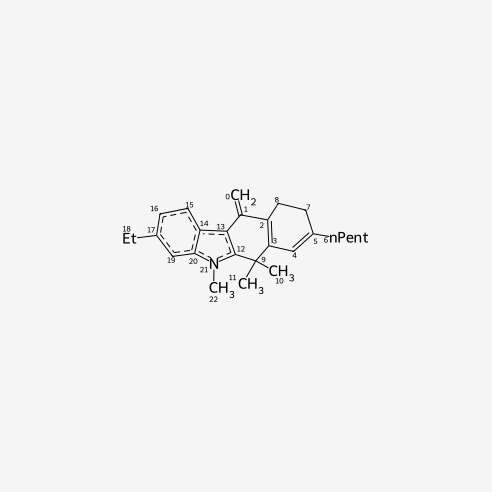 C=C1C2=C(C=C(CCCCC)CC2)C(C)(C)c2c1c1ccc(CC)cc1n2C